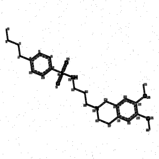 CCCCc1ccc(S(=O)(=O)NCCCN2CCc3cc(OC)c(OC)cc3C2)cc1